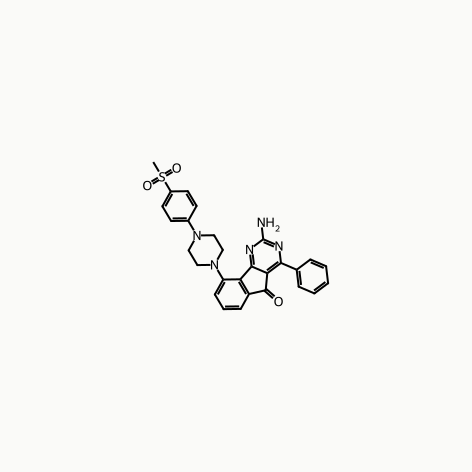 CS(=O)(=O)c1ccc(N2CCN(c3cccc4c3-c3nc(N)nc(-c5ccccc5)c3C4=O)CC2)cc1